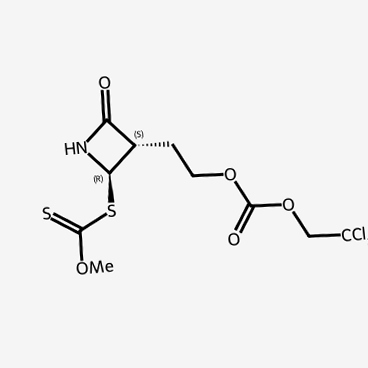 COC(=S)S[C@H]1NC(=O)[C@@H]1CCOC(=O)OCC(Cl)(Cl)Cl